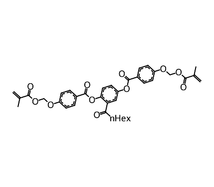 C=C(C)C(=O)OCOc1ccc(C(=O)Oc2ccc(OC(=O)c3ccc(OCOC(=O)C(=C)C)cc3)c(C(=O)CCCCCC)c2)cc1